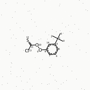 CC(C)(C)c1cccc(OOC(=S)Cl)c1